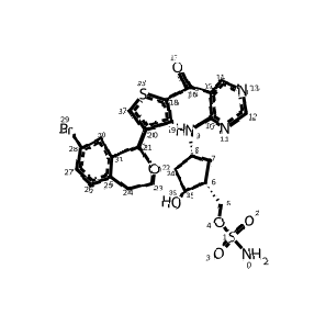 NS(=O)(=O)OC[C@H]1C[C@@H](Nc2ncncc2C(=O)c2cc(C3OCCc4ccc(Br)cc43)cs2)C[C@@H]1O